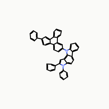 c1ccc(-c2ccc3c4ccc(-n5c6ccccc6c6ccc7c(cc(-c8ccccc8)n7-c7ccccc7)c65)cc4c4ccccc4c3c2)cc1